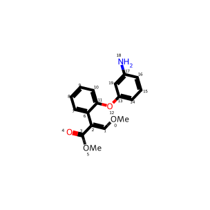 CO/C=C(/C(=O)OC)c1ccccc1Oc1cccc(N)c1